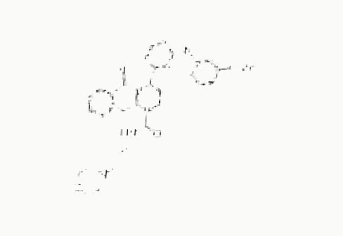 COc1cccc(Nc2ncc3c(n2)-c2ccc(C(=O)NCCCN4CCOCC4)cc2C(c2ccccc2F)=NC3)c1